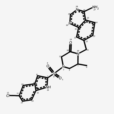 CC1CN(S(=O)(=O)c2cc3cc(Cl)ccc3[nH]2)CC(=O)N1Cc1ccc2c(N)ncnc2c1